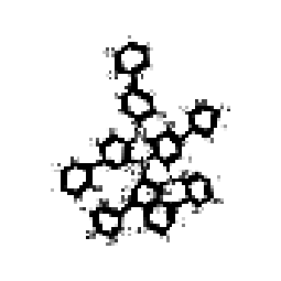 c1ccc(-c2ccc(N3c4ccc(-c5ccccc5)cc4B4c5cc(-c6ccccc6)ccc5N(c5ccccc5-c5ccccc5)c5cc(-c6ccccc6)cc3c54)cc2)cc1